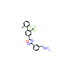 Cc1ccccc1-c1ccc(-c2nc(-c3cccc(CN)c3)no2)cc1C(F)(F)F